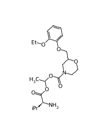 CCOc1ccccc1OCC1CN(C(=O)OC(C)OC(=O)[C@@H](N)C(C)C)CCO1